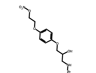 CC(C)NCC(O)COc1ccc(OCCO[N+](=O)[O-])cc1